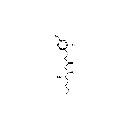 CSCC[C@H](N)C(=O)OC(=O)OCc1ccc(Cl)cc1Cl